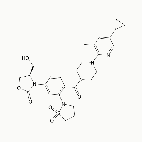 Cc1cc(C2CC2)cnc1N1CCN(C(=O)c2ccc(N3C(=O)OC[C@H]3CO)cc2N2CCCS2(=O)=O)CC1